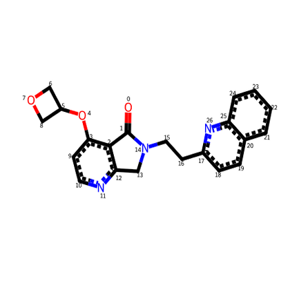 O=C1c2c(OC3COC3)ccnc2CN1CCc1ccc2ccccc2n1